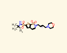 CC(C)(C)NS(=O)(=O)c1cc2c(s1)S(=O)(=O)N(C/C=C/CN1CCOCC1)C=C2